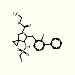 O=C(NCC(F)(F)F)N1CC2(CC2)[C@H](NS(=O)(=O)CF)[C@@H]1Cc1cccc(-c2ccccc2)c1F